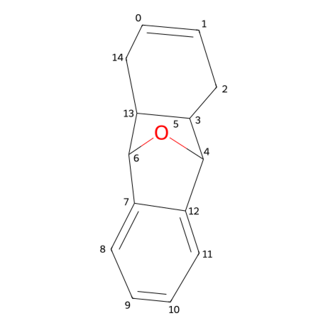 C1=CCC2C3OC(c4ccccc43)C2C1